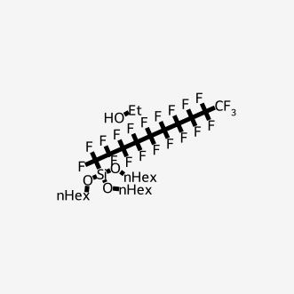 CCCCCCO[Si](OCCCCCC)(OCCCCCC)C(F)(F)C(F)(F)C(F)(F)C(F)(F)C(F)(F)C(F)(F)C(F)(F)C(F)(F)C(F)(F)C(F)(F)F.CCO